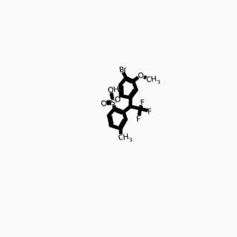 COc1cc(C(c2cc(C)ccc2S(=O)(=O)O)C(F)(F)F)ccc1Br